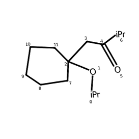 CC(C)OC1(CC(=O)C(C)C)CCCCC1